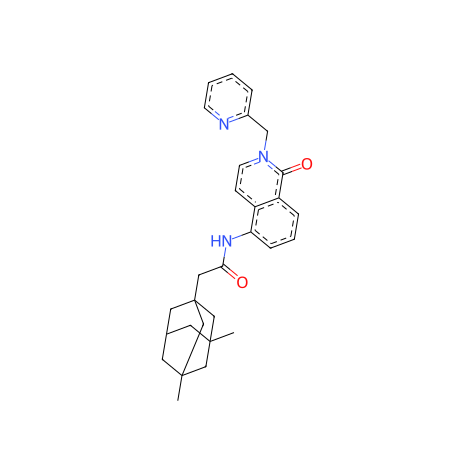 CC12CC3CC(C)(C1)CC(CC(=O)Nc1cccc4c(=O)n(Cc5ccccn5)ccc14)(C3)C2